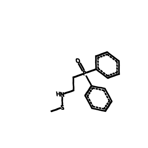 CSNCCP(=O)(c1ccccc1)c1ccccc1